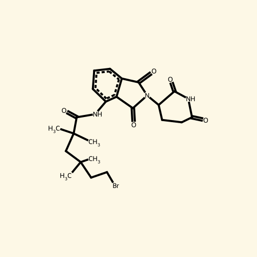 CC(C)(CCBr)CC(C)(C)C(=O)Nc1cccc2c1C(=O)N(C1CCC(=O)NC1=O)C2=O